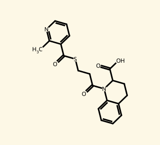 Cc1ncccc1C(=O)SCCC(=O)N1c2ccccc2CCC1C(=O)O